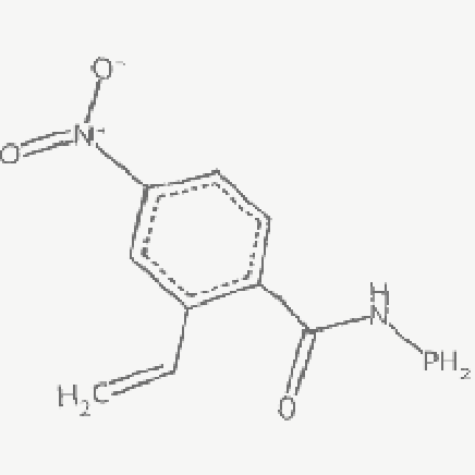 C=Cc1cc([N+](=O)[O-])ccc1C(=O)NP